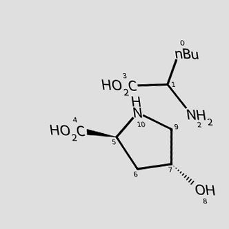 CCCCC(N)C(=O)O.O=C(O)[C@@H]1C[C@@H](O)CN1